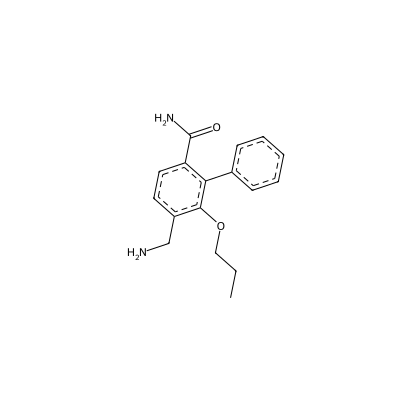 CCCOc1c(CN)ccc(C(N)=O)c1-c1ccccc1